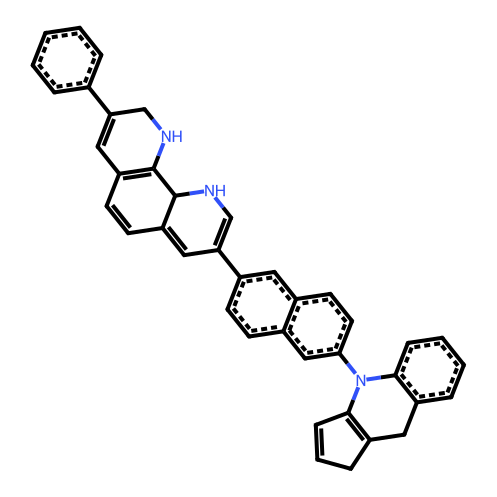 C1=CC2=C(C1)Cc1ccccc1N2c1ccc2cc(C3=CNC4C(=C3)C=CC3=C4NCC(c4ccccc4)=C3)ccc2c1